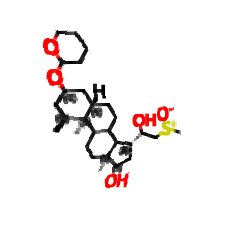 C[C@H]1C[C@@H](OC2CCCCO2)C[C@@H]2CCC3C(CC[C@@]4(C)C3[C@H](C(O)C[S+](C)[O-])C[C@@H]4O)[C@]21C